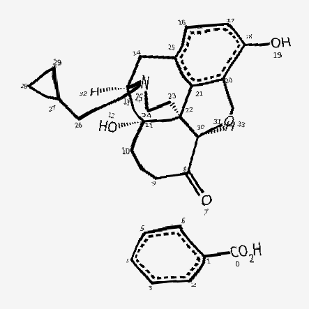 O=C(O)c1ccccc1.O=C1CC[C@@]2(O)[C@H]3Cc4ccc(O)c5c4[C@@]2(CCN3CC2CC2)[C@H]1O5